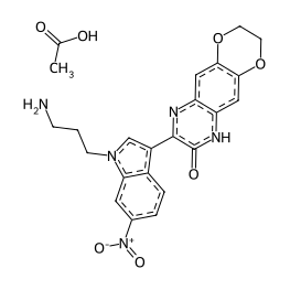 CC(=O)O.NCCCn1cc(-c2nc3cc4c(cc3[nH]c2=O)OCCO4)c2ccc([N+](=O)[O-])cc21